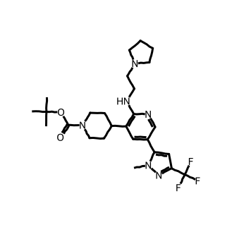 Cn1nc(C(F)(F)F)cc1-c1cnc(NCCN2CCCC2)c(C2CCN(C(=O)OC(C)(C)C)CC2)c1